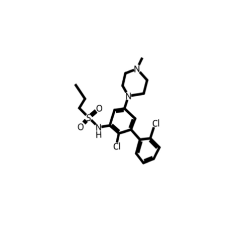 CCCS(=O)(=O)Nc1cc(N2CCN(C)CC2)cc(-c2ccccc2Cl)c1Cl